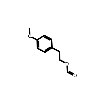 COc1ccc(CCO[C]=O)cc1